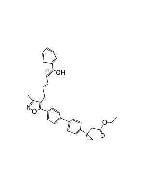 CCOC(=O)CC1(c2ccc(-c3ccc(-c4onc(C)c4CCC/C=C(\O)c4ccccc4)cc3)cc2)CC1